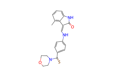 Cc1cccc2c1C(=CNc1ccc(C(=S)N3CCOCC3)cc1)C(=O)N2